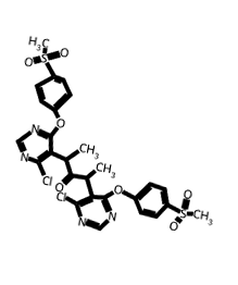 CC(C(=O)C(C)c1c(Cl)ncnc1Oc1ccc(S(C)(=O)=O)cc1)c1c(Cl)ncnc1Oc1ccc(S(C)(=O)=O)cc1